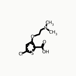 CN(C)CCOc1cc(Cl)sc1C(=O)O